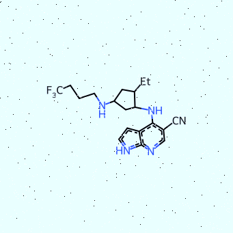 CCC1CC(NCCCC(F)(F)F)CC1Nc1c(C#N)cnc2[nH]ccc12